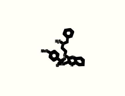 COc1ccc(S(=O)(=O)Nc2nc3ccccc3nc2OCCN(C)Cc2ccccc2)cc1